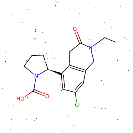 CCN1Cc2cc(Cl)cc([C@@H]3CCCN3C(=O)O)c2CC1=O